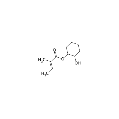 CC=C(C)C(=O)OC1CCCCC1O